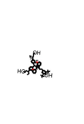 CCC(CCO)=c1ccc(=C(c2ccc(N(CC)CCO)cc2F)c2c(-c3ccccc3)n(CCc3cc(C(C)(C)C)c(O)c(C(C)(C)C)c3)c3ccccc23)cc1